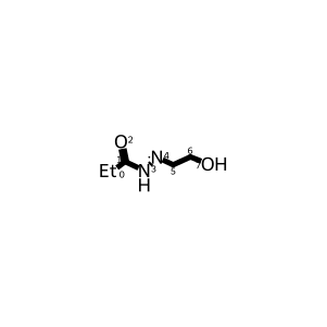 CCC(=O)N[N]CCO